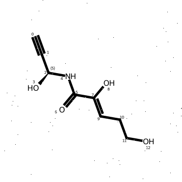 C#C[C@H](O)NC(=O)C(O)=CCCO